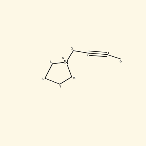 CC#CCN1CCCC1